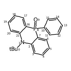 CC(C)(C)N1c2ccccc2P(=O)(c2ccccc2)c2ccccc21